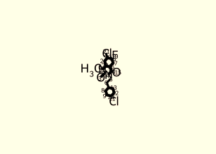 Cn1c(=O)n(CCc2ccc(Cl)cc2)c(=O)c2cc(F)c(Cl)cc21